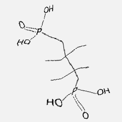 CC(C)(CP(=O)(O)O)C(C)(C)P(=O)(O)O